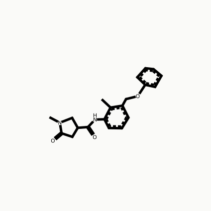 Cc1c(COc2ccccc2)cccc1NC(=O)C1CC(=O)N(C)C1